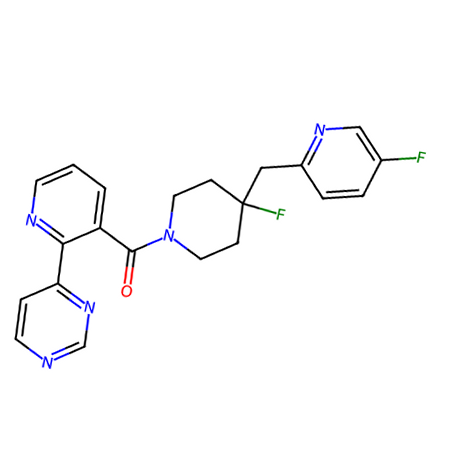 O=C(c1cccnc1-c1ccncn1)N1CCC(F)(Cc2ccc(F)cn2)CC1